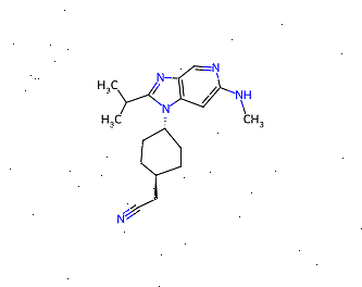 CNc1cc2c(cn1)nc(C(C)C)n2[C@H]1CC[C@H](CC#N)CC1